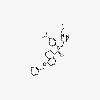 CCCn1cc(CN(C(=O)C2CCCc3c(OCc4ccccc4)cccc32)c2ccc(C(C)C)cc2)cn1